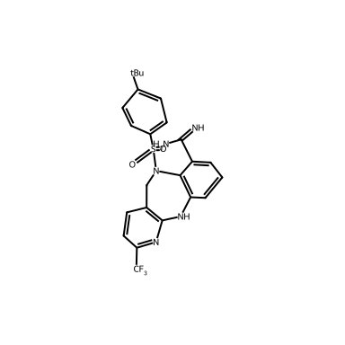 CC(C)(C)c1ccc(S(=O)(=O)N2Cc3ccc(C(F)(F)F)nc3Nc3cccc(C(=N)N)c32)cc1